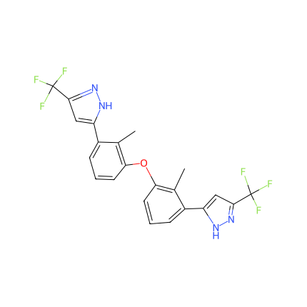 Cc1c(Oc2cccc(-c3cc(C(F)(F)F)n[nH]3)c2C)cccc1-c1cc(C(F)(F)F)n[nH]1